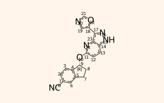 N#Cc1ccc2c(c1)CC[C@H]2Oc1ccc2[nH]nc(-c3cnco3)c2n1